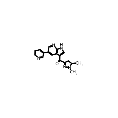 CC1CC(C(=O)c2c[nH]c3ncc(-c4cccnc4)cc23)=NN1C